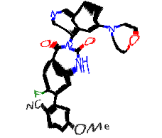 COc1ccc(C#N)c(-c2cc3[nH]c(=O)n(-c4cncc5ccc(N6CCOCC6)cc45)c(=O)c3cc2F)c1